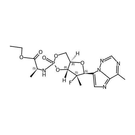 CCOC(=O)[C@H](C)NP1(=O)OC[C@H]2O[C@@H](c3cnc4c(C)ncnn34)[C@](C)(F)[C@@H]2O1